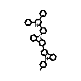 Cc1ccc(-n2c3ccccc3c3cc(-c4ccc5c(c4)c4ccccc4n5-c4cccc(-c5cc(-c6ccccc6)cc(-c6ccccc6)n5)c4)ccc32)cc1